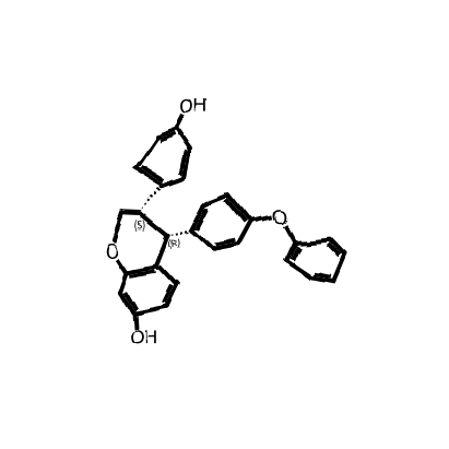 Oc1ccc([C@H]2COc3cc(O)ccc3[C@H]2c2ccc(Oc3ccccc3)cc2)cc1